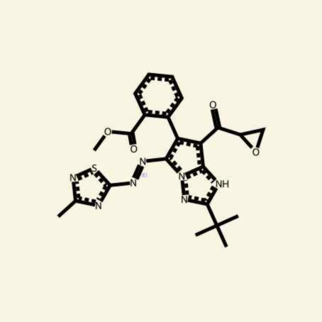 COC(=O)c1ccccc1-c1c(C(=O)C2CO2)c2[nH]c(C(C)(C)C)nn2c1/N=N/c1nc(C)ns1